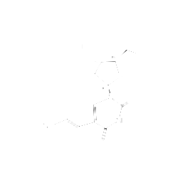 N#CC=Cc1cn([C@H]2C[C@H](O)[C@@H](CO)O2)c(=O)[nH]c1=O